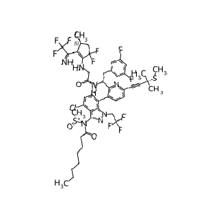 CCCCCCCC(=O)N(c1nn(CC(F)(F)F)c2c(-c3ccc(C#CC(C)(C)SC)nc3C(Cc3cc(F)cc(F)c3)NC(=O)CNC3=C(C(=N)C(F)(F)F)[C@@H](C)CC3(F)F)ccc(Cl)c12)[S+](C)[O-]